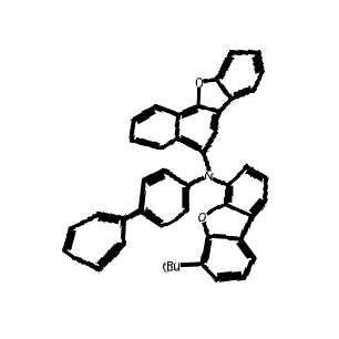 CC(C)(C)c1cccc2c1oc1c(N(c3ccc(-c4ccccc4)cc3)c3cc4c5ccccc5oc4c4ccccc34)cccc12